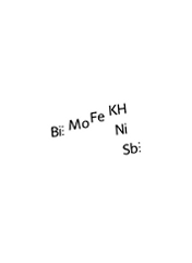 [Bi].[Fe].[KH].[Mo].[Ni].[Sb]